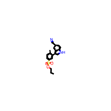 CCCOS(=O)(=O)c1ccc(C)c(-c2c[nH]c3ccc(C#N)cc23)c1